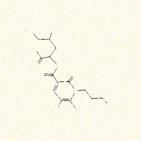 CCCCn1c(C)c(C)cc(C(=O)NC(CC(C)CC)C(=O)O)c1=O